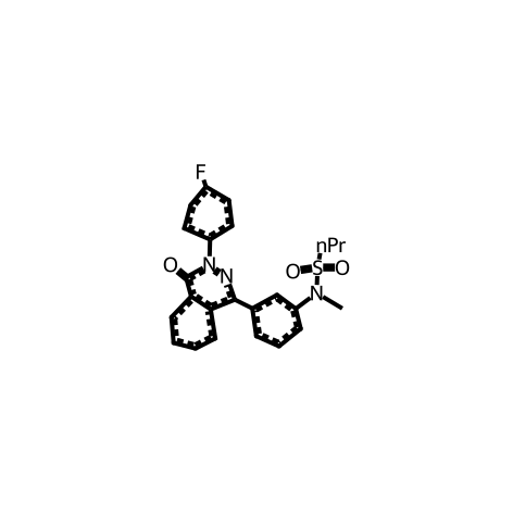 CCCS(=O)(=O)N(C)c1cccc(-c2nn(-c3ccc(F)cc3)c(=O)c3ccccc23)c1